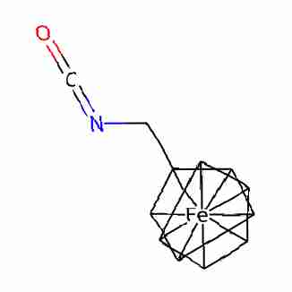 O=C=NC[C]12[CH]3[CH]4[CH]5[CH]1[Fe]45321678[CH]2[CH]1[CH]6[CH]7[CH]28